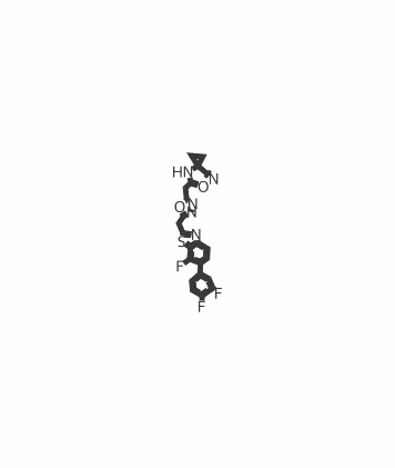 N#CC1(NC(=O)Cc2nnc(Cc3nc4ccc(-c5ccc(F)c(F)c5)c(F)c4s3)o2)CC1